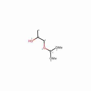 COB(OC)OCC(C)O